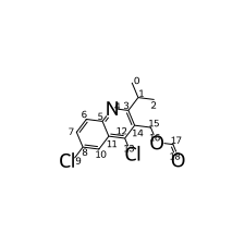 CC(C)c1nc2ccc(Cl)cc2c(Cl)c1COC=O